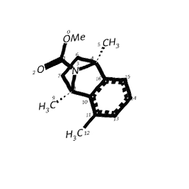 COC(=O)N1[C@@]2(C)CC[C@]1(C)c1c(C)cccc12